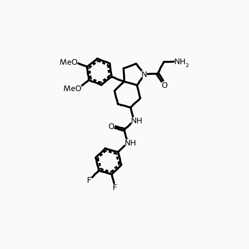 COc1ccc(C23CCC(NC(=O)Nc4ccc(F)c(F)c4)CC2N(C(=O)CN)CC3)cc1OC